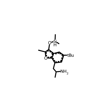 Cc1oc2c(CC(C)N)cc(C(C)(C)C)cc2c1O[SiH](C)C